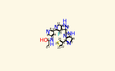 CCC(O)Nc1cncc(-c2ncc3[nH]nc(-c4nc5c(-c6ccsc6)nccc5[nH]4)c3c2F)c1